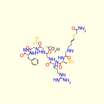 N=C(N)NCCC[C@H](NC(=O)[C@H](CS)NC(=O)CNCCC=CSCC(N)=O)C(=O)NCC(=O)N[C@@H](CC(=O)O)C(=O)N[C@@H](CS)C(=O)N[C@@H](Cc1ccccc1)C(N)=O